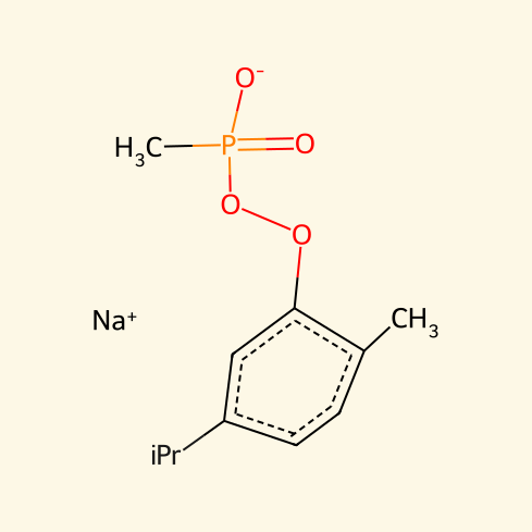 Cc1ccc(C(C)C)cc1OOP(C)(=O)[O-].[Na+]